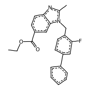 CCOC(=O)c1ccc2nc(C)n(Cc3ccc(-c4ccccc4)cc3F)c2c1